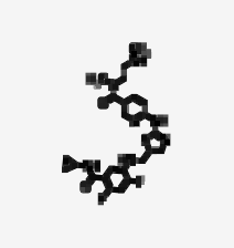 CNCCN(C)C(=O)c1ccc(Nc2ncc(CNc3cc(C(=O)NC4CC4)c(F)cc3F)s2)nc1